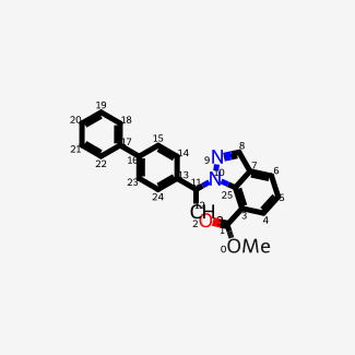 COC(=O)c1cccc2cnn(C(C)c3ccc(-c4ccccc4)cc3)c12